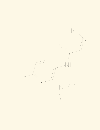 COc1ccc(NC(=O)/C=N\O)c([N+](=O)[O-])c1